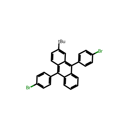 CC(C)(C)c1ccc2c(-c3ccc(Br)cc3)c3ccccc3c(-c3ccc(Br)cc3)c2c1